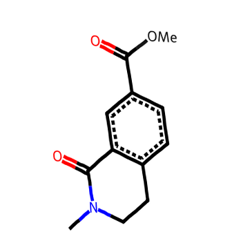 COC(=O)c1ccc2c(c1)C(=O)N(C)CC2